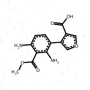 COC(=O)c1c(N)ccc(-c2cocc2C(=O)O)c1N